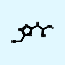 N=C(N)Nc1n[nH]c(CO)n1